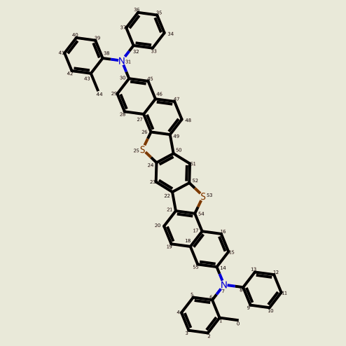 Cc1ccccc1N(c1ccccc1)c1ccc2c(ccc3c4cc5sc6c7ccc(N(c8ccccc8)c8ccccc8C)cc7ccc6c5cc4sc23)c1